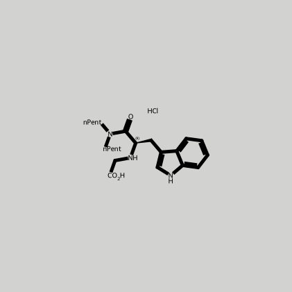 CCCCCN(CCCCC)C(=O)[C@@H](Cc1c[nH]c2ccccc12)NCC(=O)O.Cl